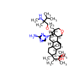 CN[C@@](C)(CO[C@H]1[C@H](n2cnc(N)n2)C[C@@]23COC[C@]1(C)[C@@H]2CC[C@H]1C3=CC[C@@]2(C)[C@H](C(=O)O)[C@@](C)([C@H](C)C(C)C)CC[C@]12C)C(C)C